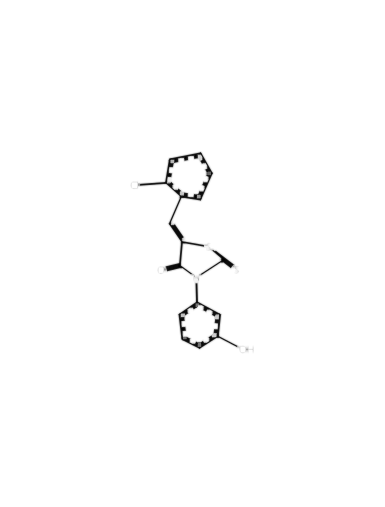 O=C1/C(=C/c2ccccc2Cl)SC(=S)N1c1cccc(O)c1